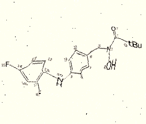 CC(C)(C)C(=O)N(O)Cc1ccc(Nc2ccc(F)cc2F)cc1